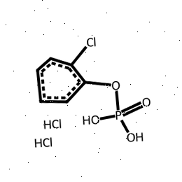 Cl.Cl.O=P(O)(O)Oc1ccccc1Cl